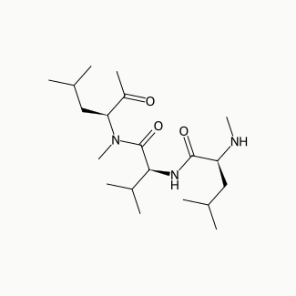 CN[C@@H](CC(C)C)C(=O)N[C@H](C(=O)N(C)[C@@H](CC(C)C)C(C)=O)C(C)C